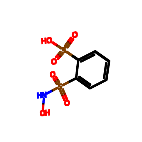 O=S(=O)(O)c1ccccc1S(=O)(=O)NO